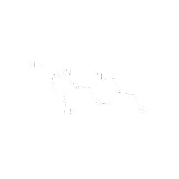 Cc1cc(C)n(-c2ccc(CC(C)C)cn2)n1